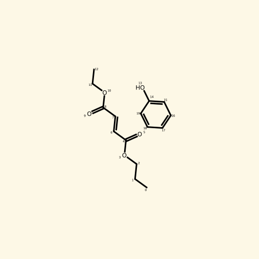 CCCOC(=O)C=CC(=O)OCC.Oc1ccccc1